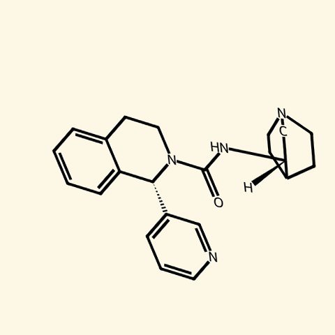 O=C(N[C@@H]1CN2CCC1CC2)N1CCc2ccccc2[C@H]1c1cccnc1